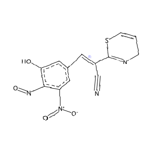 N#C/C(=C\c1cc(O)c(N=O)c([N+](=O)[O-])c1)C1=NCC=CS1